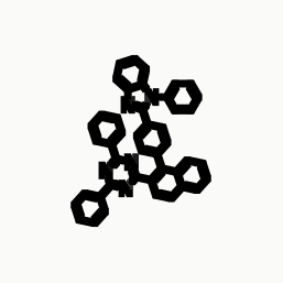 c1ccc(-c2nc(-c3ccccc3)nc(-c3ccc4ccccc4c3-c3ccc(-c4nc5ccccc5n4-c4ccccc4)cc3)n2)cc1